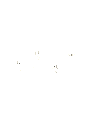 NOCC[C@H](Nc1cccnc1)C(=O)O